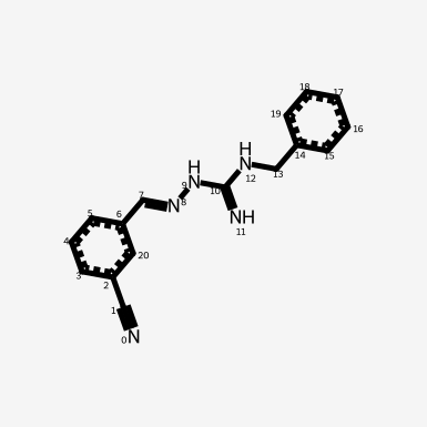 N#Cc1cccc(/C=N/NC(=N)NCc2ccccc2)c1